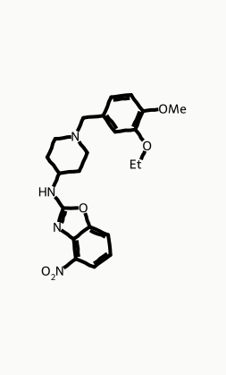 CCOc1cc(CN2CCC(Nc3nc4c([N+](=O)[O-])cccc4o3)CC2)ccc1OC